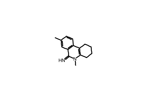 Cc1ccc2c3c(n(C)c(=N)c2c1)CCCC3